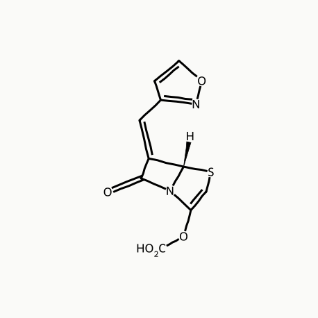 O=C(O)OC1=CS[C@H]2/C(=C\c3ccon3)C(=O)N12